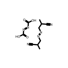 CC(C#N)CN=NCC(C)C#N.O=C(O)N=NC(=O)O